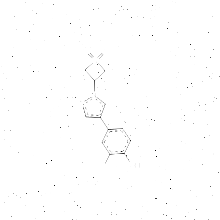 Cc1cc(-c2cnn(C3CS(=O)(=O)C3)c2)ccc1O